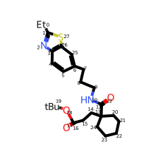 CCc1nc2ccc(CCCNC(=O)C3(CCC(=O)OC(C)(C)C)CCCCC3)cc2s1